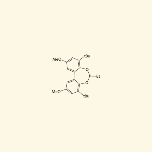 CCp1oc2c(C(C)(C)C)cc(OC)cc2c2cc(OC)cc(C(C)(C)C)c2o1